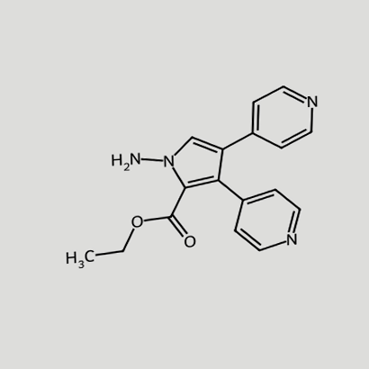 CCOC(=O)c1c(-c2ccncc2)c(-c2ccncc2)cn1N